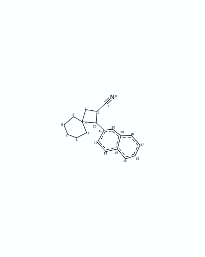 N#CC1CC2(CCCCC2)C1c1ccc2ccccc2c1